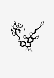 CC(Cc1cc(Cl)c(OCCCCl)c(Cl)c1)c1ccc(OCc2ocnc2S(C)(=O)=O)cc1